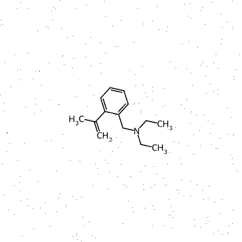 C=C(C)c1ccccc1CN(CC)CC